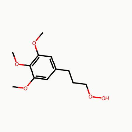 COc1cc(CCCOO)cc(OC)c1OC